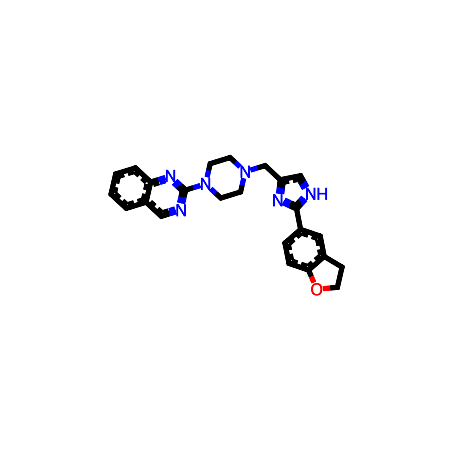 c1ccc2nc(N3CCN(Cc4c[nH]c(-c5ccc6c(c5)CCO6)n4)CC3)ncc2c1